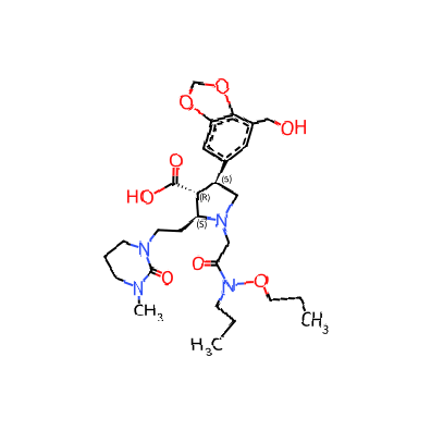 CCCON(CCC)C(=O)CN1C[C@H](c2cc(CO)c3c(c2)OCO3)[C@@H](C(=O)O)[C@@H]1CCN1CCCN(C)C1=O